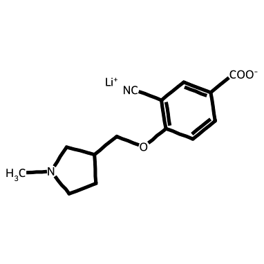 CN1CCC(COc2ccc(C(=O)[O-])cc2C#N)C1.[Li+]